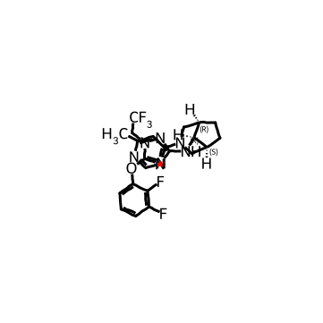 Cc1cc(N2C[C@H]3CC[C@@H](C2)[C@H]3Nc2nc(Oc3cccc(F)c3F)n(CC(F)(F)F)n2)ncn1